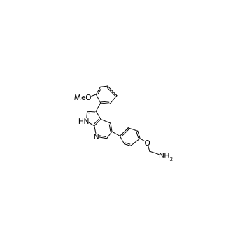 COc1ccccc1-c1c[nH]c2ncc(-c3ccc(OCN)cc3)cc12